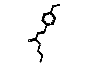 CCOOC(=O)C=Cc1ccc(OC)cc1